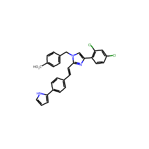 O=C(O)c1ccc(Cn2cc(-c3ccc(Cl)cc3Cl)nc2/C=C/c2ccc(-c3ccc[nH]3)cc2)cc1